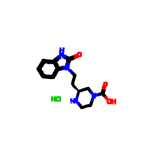 Cl.O=C(O)N1CCN[C@H](CCn2c(=O)[nH]c3ccccc32)C1